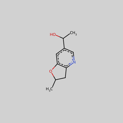 CC1Cc2ncc(C(C)O)cc2O1